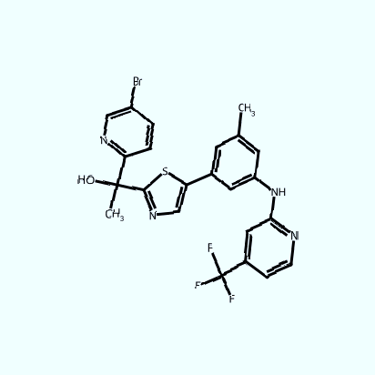 Cc1cc(Nc2cc(C(F)(F)F)ccn2)cc(-c2cnc(C(C)(O)c3ccc(Br)cn3)s2)c1